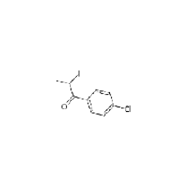 CC(I)C(=O)c1ccc(Cl)cc1